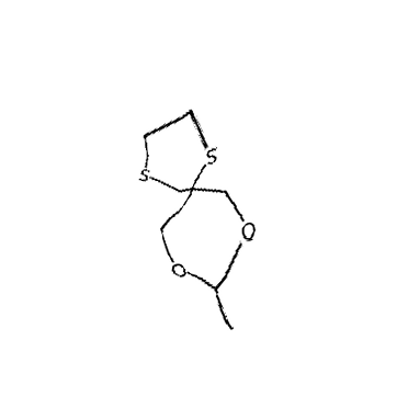 CC1OCC2(CO1)SCCS2